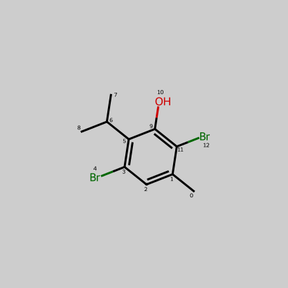 Cc1cc(Br)c(C(C)C)c(O)c1Br